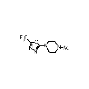 CC(=O)N1CCN(c2nnc(C(F)(F)F)o2)CC1